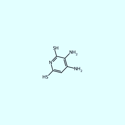 Nc1cc(S)nc(S)c1N